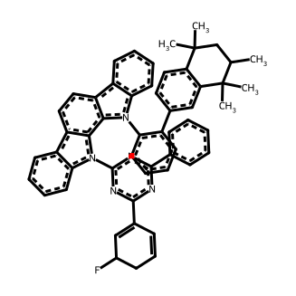 CC1CC(C)(C)c2ccc(-c3ccccc3-n3c4ccccc4c4ccc5c6ccccc6n(-c6nc(C7=CC(F)CC=C7)nc(-c7ccccc7)n6)c5c43)cc2C1(C)C